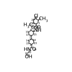 Cc1cc(S(=O)(=O)Nc2cccc(-c3ccc(C(=O)NCCO)cc3)c2)c(C)cc1Cl